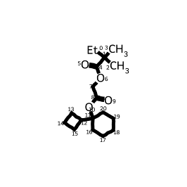 CCC(C)(C)C(=O)OCC(=O)OC1(C2CCC2)CCCCC1